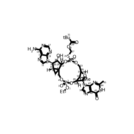 CCO[P@]1(=O)OCC23C[C@@H]2[C@@H](n2cnc4c(N)ncnc42)[C@H](O)[C@@H]3O[P@](=O)(SCOC(=O)C(C)(C)C)OC[C@H]2O[C@@H](n3cnc4c(=O)[nH]c(C)nc43)[C@H](O1)[C@@H]2OC